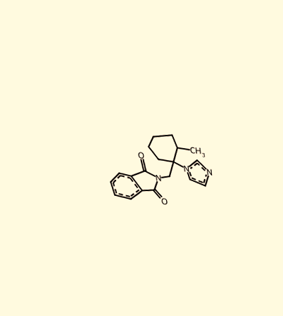 CC1CCCCC1(CN1C(=O)c2ccccc2C1=O)n1ccnc1